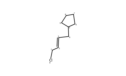 ClC/C=C/CC1CCCC1